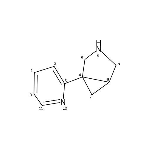 c1ccc(C23CNCC2C3)nc1